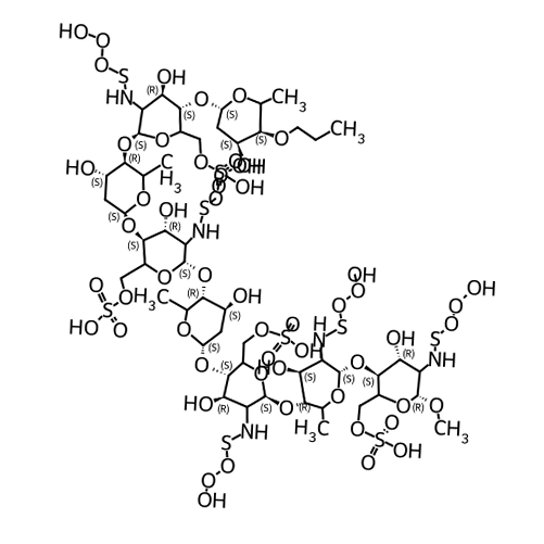 CCCO[C@@H]1C(C)O[C@@H](O[C@@H]2C(COS(=O)(=O)O)O[C@@H](O[C@H]3C(C)O[C@@H](O[C@@H]4C(COS(=O)(=O)O)O[C@@H](O[C@H]5C(C)O[C@@H](O[C@@H]6C(COS(=O)(=O)O)O[C@@H](O[C@H]7C(C)O[C@@H](O[C@@H]8C(COS(=O)(=O)O)O[C@@H](OC)C(NSOOO)[C@H]8O)C(NSOOO)[C@@H]7O)C(NSOOO)[C@H]6O)C[C@@H]5O)C(NSOOO)[C@H]4O)C[C@@H]3O)C(NSOOO)[C@H]2O)C[C@@H]1O